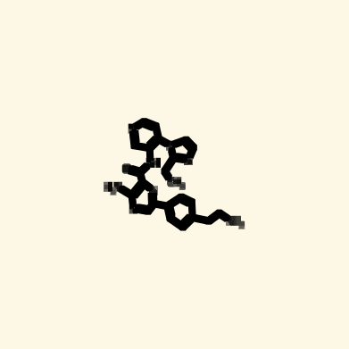 CCc1nccn1-c1ccncc1NC(=O)c1nc(-c2ccc(CCN)cc2)cnc1N